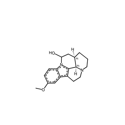 COc1ccc2c(c1)c1c3n2C(O)C[C@H]2CCCN(CC1)[C@@H]32